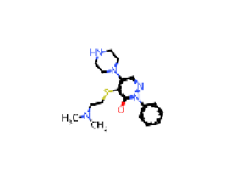 CN(C)CCSc1c(N2CCNCC2)cnn(-c2ccccc2)c1=O